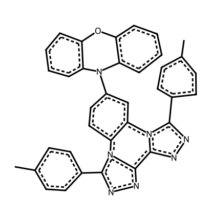 Cc1ccc(-c2nnc3c4nnc(-c5ccc(C)cc5)n4c4cc(N5c6ccccc6Oc6ccccc65)ccc4n23)cc1